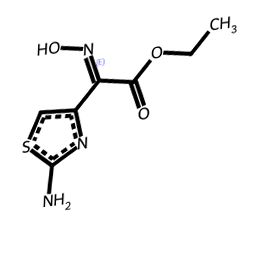 CCOC(=O)/C(=N/O)c1csc(N)n1